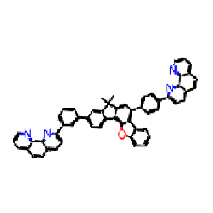 CC1(C)c2cc(-c3cccc(-c4ccc5ccc6cccnc6c5n4)c3)ccc2-c2c1cc(-c1ccc(-c3ccc4ccc5cccnc5c4n3)cc1)c1c2oc2ccccc21